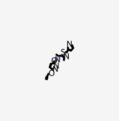 C#CCOc1ccc(O/N=C(\C)c2sc(-c3cccnc3)nc2C)nn1